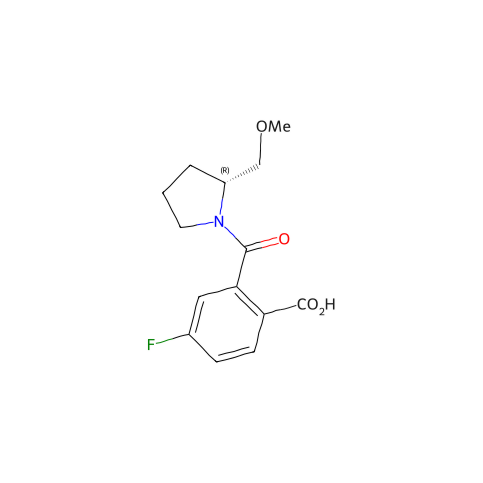 COC[C@H]1CCCN1C(=O)c1cc(F)ccc1C(=O)O